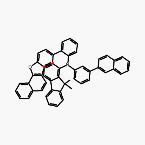 CC1(C)c2ccccc2-c2cccc(N(c3cccc(-c4ccc5ccccc5c4)c3)c3ccccc3-c3ccc4oc5c6ccccc6ccc5c4c3)c21